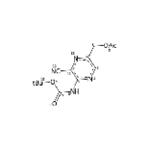 CC(=O)OCc1cnc(NC(=O)OC(C)(C)C)c(C#N)n1